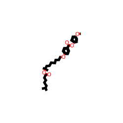 COc1ccc(OC(=O)c2ccc(OCCCCCCCC(C)(C)OC(=O)CCCCC(C)C)cc2)cc1